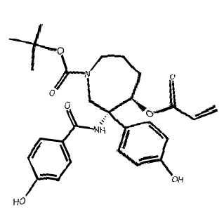 C=CC(=O)O[C@@H]1CCCN(C(=O)OC(C)(C)C)C[C@]1(NC(=O)c1ccc(O)cc1)c1ccc(O)cc1